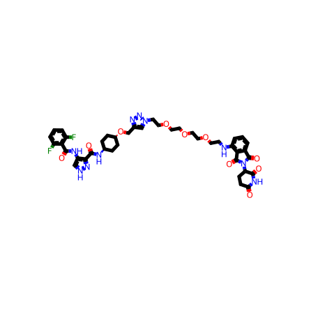 O=C1CCC(N2C(=O)c3cccc(NCCOCCOCCOCCn4cc(CO[C@H]5CC[C@H](NC(=O)c6n[nH]cc6NC(=O)c6c(F)cccc6F)CC5)nn4)c3C2=O)C(=O)N1